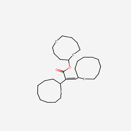 O=C(OC1CCCCCCCCC1)C(=CC1CCCCCCCCC1)C1CCCCCCCCC1